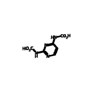 O=C(O)Nc1ccnc(NC(=O)O)n1